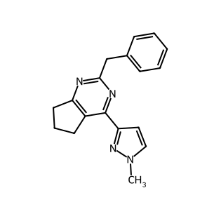 Cn1ccc(-c2nc(Cc3ccccc3)nc3c2CCC3)n1